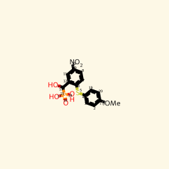 COc1ccc(Sc2ccc([N+](=O)[O-])cc2C(O)P(=O)(O)O)cc1